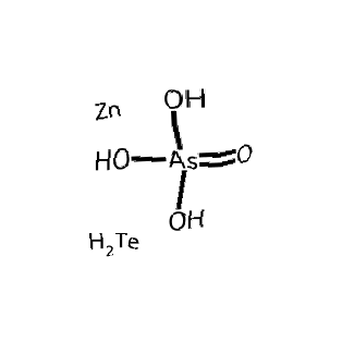 O=[As](O)(O)O.[TeH2].[Zn]